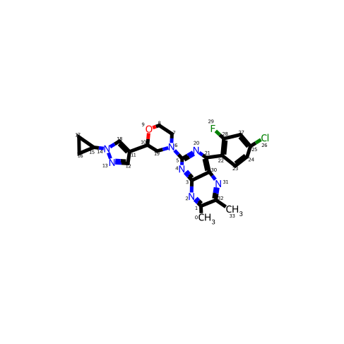 Cc1nc2nc(N3CCOC(c4cnn(C5CC5)c4)C3)nc(-c3ccc(Cl)cc3F)c2nc1C